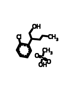 CCCC(CO)c1ccccc1Cl.CS(=O)(=O)O